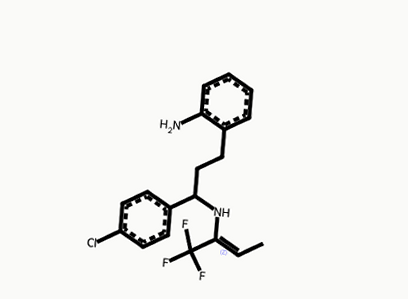 C/C=C(\NC(CCc1ccccc1N)c1ccc(Cl)cc1)C(F)(F)F